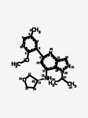 COc1ncc(C)cc1-c1cc(N[C@@H]2CCOC2)c2c(cnn2C(C)C)n1